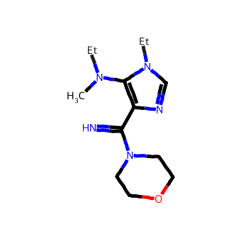 CCN(C)c1c(C(=N)N2CCOCC2)ncn1CC